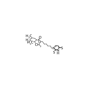 CC(C)CC(C(=O)OCCCCCCn1ccc(=S)[nH]c1=S)C(C)C